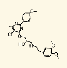 COc1ccc(-c2nc(C)c(Cl)c(OC[C@@H](O)CNCCc3ccc(OC)c(OC)c3)n2)cc1